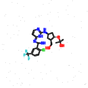 CC(C)(O)OC1C[C@H](Nc2ncc/c(=N/C(=N)c3cc(C(F)(F)F)ccc3Cl)[nH]2)C[C@@H]1CO